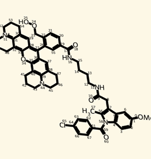 COc1ccc2c(c1)c(CC(=O)NCCCCNC(=O)c1ccc(COO)c(C3=c4cc5c6c(c4Oc4c3cc3c7c4CCCN7CCC3)CCC[N+]=6CCC5)c1)c(C)n2C(=O)c1ccc(Cl)cc1